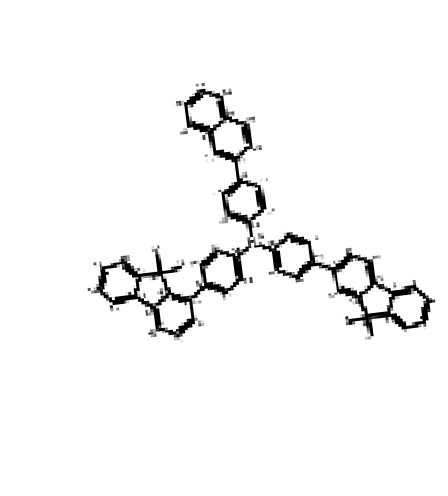 CC1(C)c2ccccc2-c2ccc(-c3ccc(N(c4ccc(-c5ccc6ccccc6c5)cc4)c4ccc(-c5cccc6c5C(C)(C)c5ccccc5-6)cc4)cc3)cc21